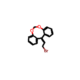 BrCC=C1c2ccccc2OCOc2ccccc21